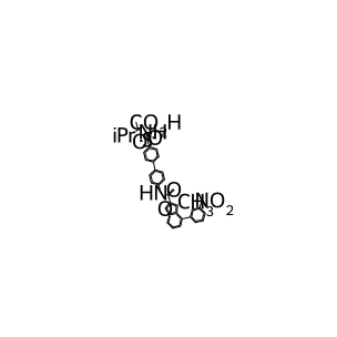 Cc1c(C(=O)Nc2ccc(-c3ccc(S(=O)(=O)NC(C(=O)O)C(C)C)cc3)cc2)oc2cccc(-c3cccc([N+](=O)[O-])c3)c12